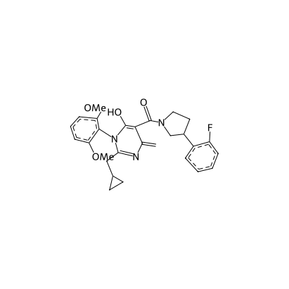 C=C1N=C(CC2CC2)N(c2c(OC)cccc2OC)C(O)=C1C(=O)N1CCC(c2ccccc2F)C1